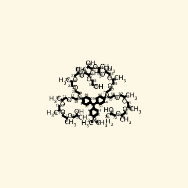 CC(O)COC(C)COC(C)COC(C)COCCN(CCOCC(C)OCC(C)OCC(C)OCCO)c1ccc(C(c2ccc(N(C)C)cc2)c2ccc(N(CCOCC(C)OCC(C)OCC(C)OCC(C)O)CCOCC(C)OCC(C)OCC(C)OCC(C)O)cc2)cc1